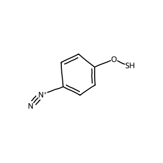 N#[N+]c1ccc(OS)cc1